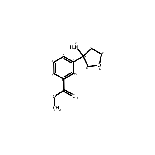 COC(=O)c1cccc(C2(N)CCOC2)c1